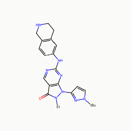 CCn1c(=O)c2cnc(Nc3ccc4c(c3)CCNC4)nc2n1-c1ccn(C(C)(C)C)n1